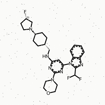 FC(F)c1nc2ccccc2n1-c1cc(NC[C@H]2CC[C@H](N3CC[C@H](F)C3)CC2)nc(N2CCOCC2)n1